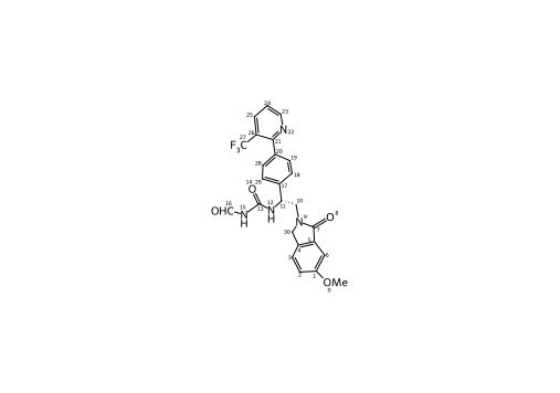 COc1ccc2c(c1)C(=O)N(C[C@H](NC(=O)NC=O)c1ccc(-c3ncccc3C(F)(F)F)cc1)C2